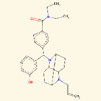 C=CCN1C2CCC3C1CCC2N3C(c1ccc(C(=O)N(CC)CC)cc1)c1cccc(O)c1